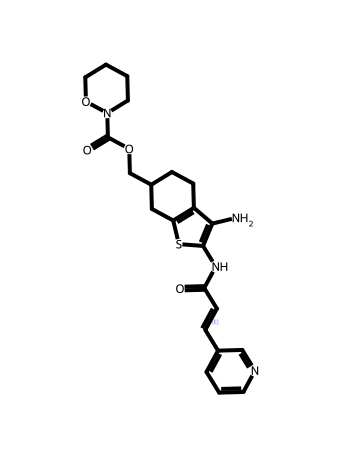 Nc1c(NC(=O)/C=C/c2cccnc2)sc2c1CCC(COC(=O)N1CCCCO1)C2